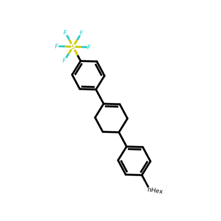 CCCCCCc1ccc(C2CC=C(c3ccc(S(F)(F)(F)(F)F)cc3)CC2)cc1